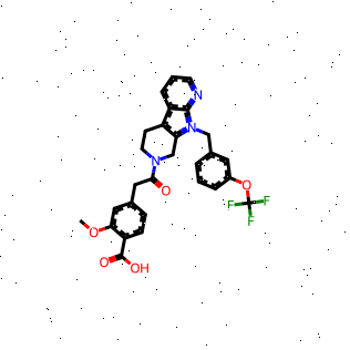 COc1cc(CC(=O)N2CCc3c(n(Cc4cccc(OC(F)(F)F)c4)c4ncccc34)C2)ccc1C(=O)O